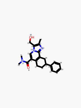 Cc1nc2c3c(c(C(=O)N(C)C)cn2c1CO)CCC(c1ccccc1)C3